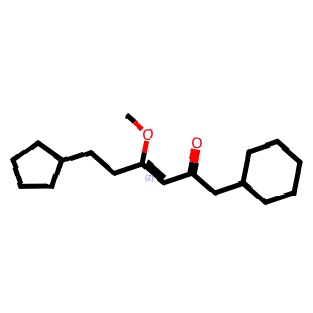 CO/C(=C\C(=O)CC1CCCCC1)CCC1CCCC1